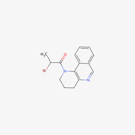 CC(Br)C(=O)N1CCCc2ncc3ccccc3c21